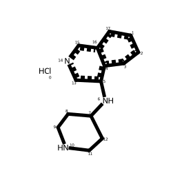 Cl.c1ccc2c(NC3CCNCC3)cncc2c1